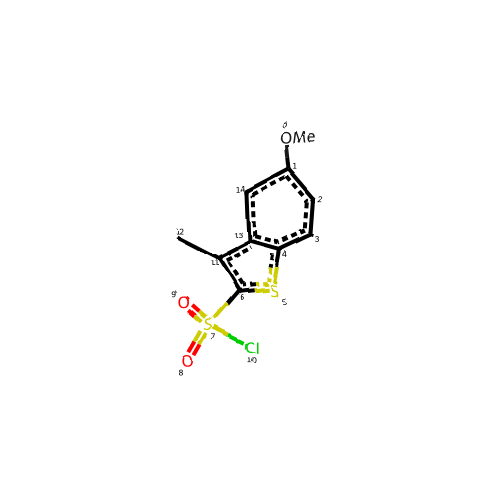 COc1ccc2sc(S(=O)(=O)Cl)c(C)c2c1